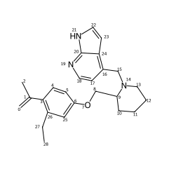 C=C(C)c1ccc(OCC2CCCCN2Cc2ccnc3[nH]ccc23)cc1CC